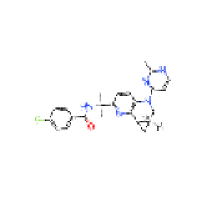 Cc1nccc(N2C[C@H]3CC3c3nc(C(C)(C)NC(=O)c4ccc(F)cc4)ccc32)n1